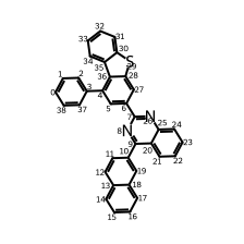 c1ccc(-c2cc(-c3nc(-c4ccc5ccccc5c4)c4ccccc4n3)cc3sc4ccccc4c23)cc1